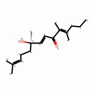 CCC/C(C)=C(\C)C(=O)/C=C/[C@](C)(O)CCC=C(C)C